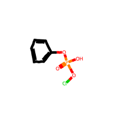 O=P(O)(OCl)Oc1ccccc1